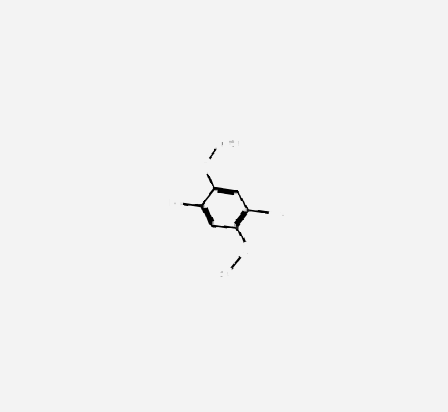 CCCCCCOc1cc(C(C)(C)C)c(OCCCCCC)cc1C(C)(C)C